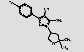 CC1(C)CC(n2nc(-c3ccc(Br)cc3)c(C#N)c2N)CO1